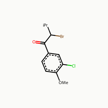 COc1ccc(C(=O)C(Br)C(C)C)cc1Cl